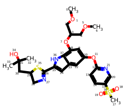 COCC(COC)Oc1cc(Oc2ccc(S(C)(=O)=O)cn2)cc2cc(C3=NCC(CC(C)(C)O)S3)[nH]c12